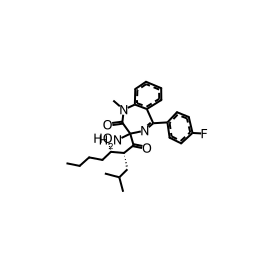 CCCC[C@H](O)[C@@H](CC(C)C)C(=O)C1(N)N=C(c2ccc(F)cc2)c2ccccc2N(C)C1=O